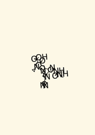 CCNC(=O)Nc1cc(-c2nc(-c3cnn(C)c3)cs2)c(-c2cc3c(=O)c(C(=O)O)cn(C4CC4)c3cn2)cn1